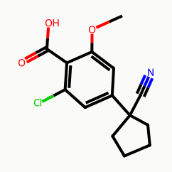 COc1cc(C2(C#N)CCCC2)cc(Cl)c1C(=O)O